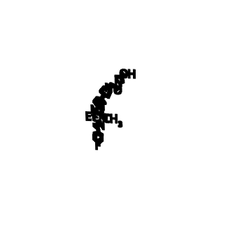 CCC1=C(N(C)c2nc(-c3ccc(F)cc3)cs2)CN2C=C(C3CCN(CC(=O)N4CC(O)C4)CC3)C=CC2=N1